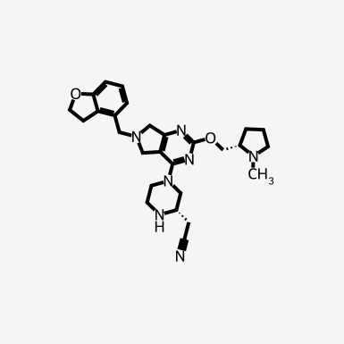 CN1CCC[C@H]1COc1nc2c(c(N3CCN[C@@H](CC#N)C3)n1)CN(Cc1cccc3c1CCO3)C2